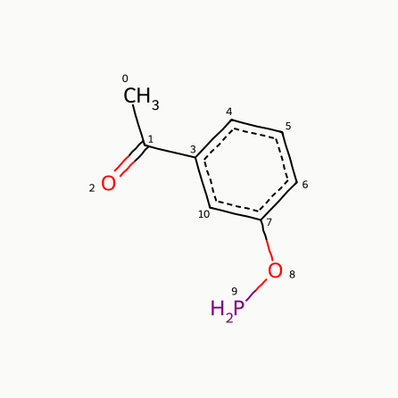 CC(=O)c1cccc(OP)c1